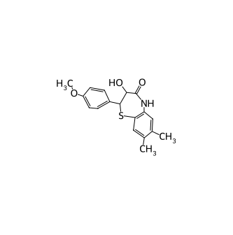 COc1ccc(C2Sc3cc(C)c(C)cc3NC(=O)C2O)cc1